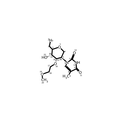 [2H]CC1OC[C@@H](n2cc(C)c(=O)[nH]c2=O)[C@H](OCCOC)[C@@H]1O